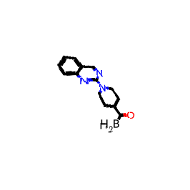 BC(=O)C1CCN(c2ncc3ccccc3n2)CC1